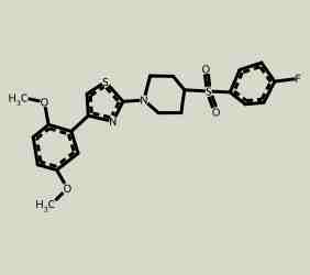 COc1ccc(OC)c(-c2csc(N3CCC(S(=O)(=O)c4ccc(F)cc4)CC3)n2)c1